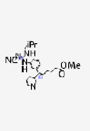 COC(=O)CCC/C=C(/c1cccnc1)c1cccc(N/C(=N\C#N)NCC(C)C)c1